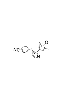 Cc1cc(-c2nccn2Cc2ccc(C#N)cc2)cn(C)c1=O